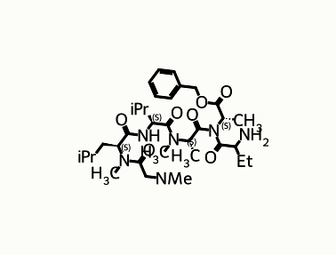 CCC(N)C(=O)N(C(=O)[C@H](C)N(C)C(=O)[C@@H](NC(=O)[C@H](CC(C)C)N(C)C(=O)CNC)C(C)C)[C@@H](C)C(=O)OCc1ccccc1